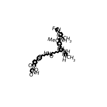 COC1(C(=O)N[C@@H](C)c2ccc(-n3cc(F)cn3)nc2)CCN(c2nc(CCCCC(=O)NCCCCN3CCN(c4ccc5c(c4)CN(C4CCC(=O)NC4=O)C5=O)CC3)cc(Nc3cc(C)[nH]n3)n2)CC1